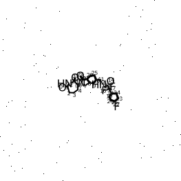 O=C1CCC[C@H](N2Cc3cc(CNC(=O)C(F)(F)c4ccc(F)cc4)ccc3C2=O)C(=O)N1